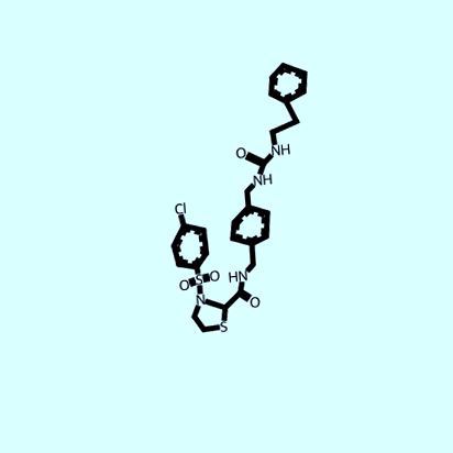 O=C(NCCc1ccccc1)NCc1ccc(CNC(=O)C2SCCN2S(=O)(=O)c2ccc(Cl)cc2)cc1